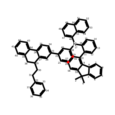 CC1(C)c2ccccc2-c2c(-c3ccccc3N(c3cccc(-c4ccc5c(c4)C(CCc4ccccc4)Cc4ccccc4-5)c3)c3cccc4ccccc34)cccc21